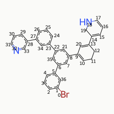 Brc1cccc(-c2cc(C3=CCCC(C4=CC=CNC4)=C3)cc(-c3cccc(-c4cccnc4)c3)c2)c1